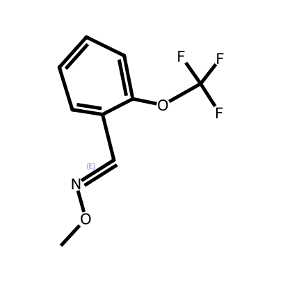 CO/N=C/c1ccccc1OC(F)(F)F